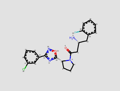 N[C@@H](CC(=O)N1CCC[C@@H]1c1nc(-c2cccc(Cl)c2)no1)Cc1ccccc1F